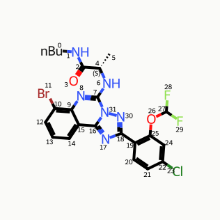 CCCCNC(=O)[C@H](C)Nc1nc2c(Br)cccc2c2nc(-c3ccc(Cl)cc3OC(F)F)nn12